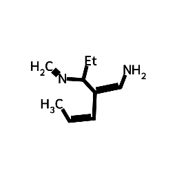 C=NC(CC)C(/C=C\C)=C\N